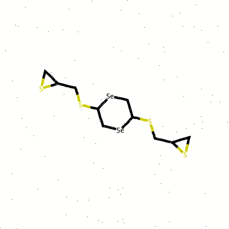 C1SC1CSC1C[Se]C(SCC2CS2)C[Se]1